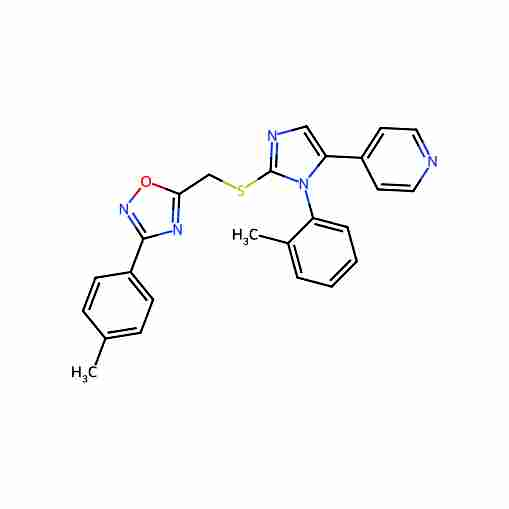 Cc1ccc(-c2noc(CSc3ncc(-c4ccncc4)n3-c3ccccc3C)n2)cc1